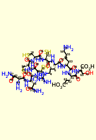 N=C(N)NCCC[C@H](NC(=O)[C@H](CS)NC(=O)[C@H](CS)NC(=O)[C@H](CS)NC(=O)[C@H](CS)NC(=O)[C@H](CC(N)=O)NC(=O)[C@@H](N)CC(N)=O)C(=O)N[C@@H](CCCCN)C(=O)N[C@@H](CCC(=O)O)C(=O)N[C@@H](CO)C(=O)O